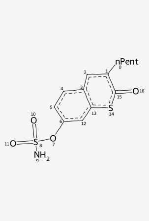 CCCCCc1cc2ccc(OS(N)(=O)=O)cc2sc1=O